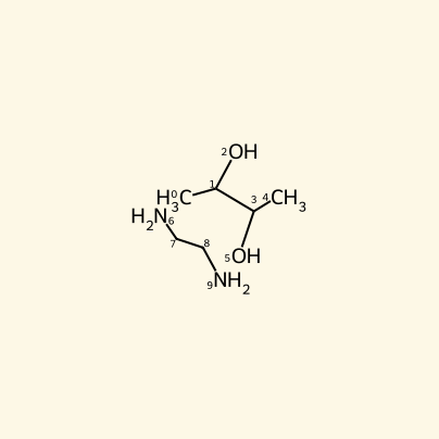 CC(O)C(C)O.NCCN